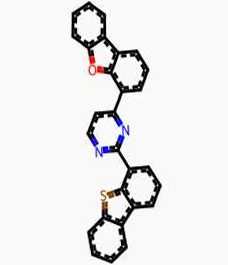 c1ccc2c(c1)oc1c(-c3ccnc(-c4cccc5c4sc4ccccc45)n3)cccc12